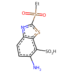 CCS(=O)(=O)c1nc2ccc(N)c(S(=O)(=O)O)c2s1